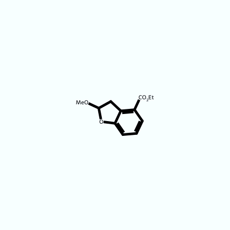 CCOC(=O)c1cccc2c1CC(OC)O2